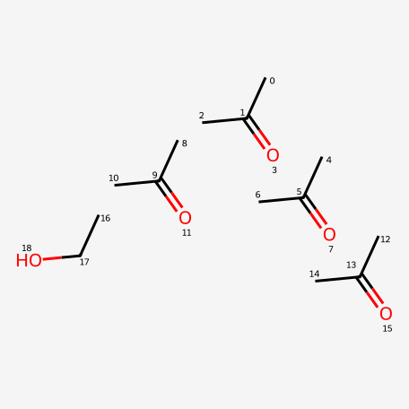 CC(C)=O.CC(C)=O.CC(C)=O.CC(C)=O.CCO